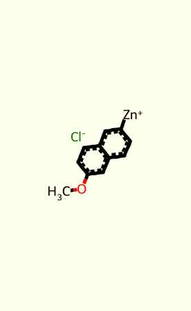 COc1ccc2c[c]([Zn+])ccc2c1.[Cl-]